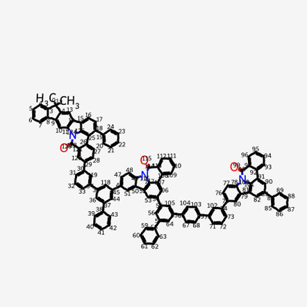 CC1(C)c2ccccc2-c2cc3c(cc21)c1ccc(-c2ccccc2)c2c4ccc(-c5cccc(-c6cc(-c7ccccc7)cc(-c7ccc8c(c7)c7cc(-c9cc(-c%10ccccc%10)cc(-c%10ccc(-c%11cccc(-c%12ccc%13c(c%12)c%12cc(-c%14ccccc%14)cc%14c%15ccccc%15c(=O)n%13c%14%12)c%11)cc%10)c9)cc9c%10ccccc%10c(=O)n8c97)c6)c5)cc4c(=O)n3c12